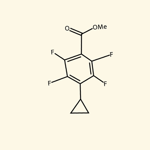 COC(=O)c1c(F)c(F)c(C2CC2)c(F)c1F